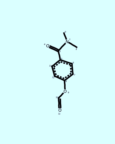 CN(C)C(=O)c1ccc(OC=O)cc1